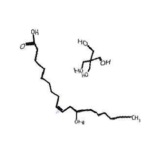 CCCCCCC(O)C/C=C\CCCCCCCC(=O)O.OCC(CO)(CO)CO